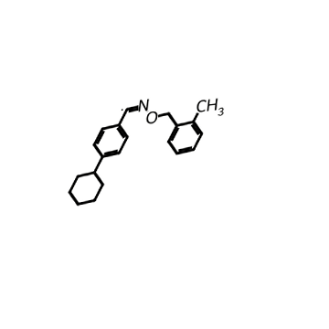 Cc1ccccc1CO/N=[C]\c1ccc(C2CCCCC2)cc1